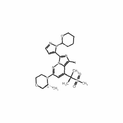 C[C@@H]1COCCN1c1cc(C(C)(C)S(C)(=O)=O)c2c(I)nc(-c3ccnn3C3CCCCO3)n2n1